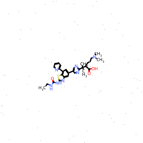 CCNC(=O)Nc1nc2cc(-c3cnc(C(C)(C)C(CCCN(C)C)C(=O)O)nc3)cc(-c3ccccn3)c2s1